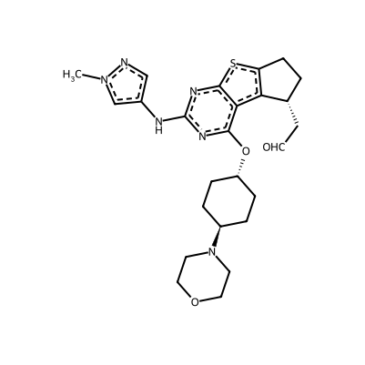 Cn1cc(Nc2nc(O[C@H]3CC[C@H](N4CCOCC4)CC3)c3c4c(sc3n2)CC[C@@H]4CC=O)cn1